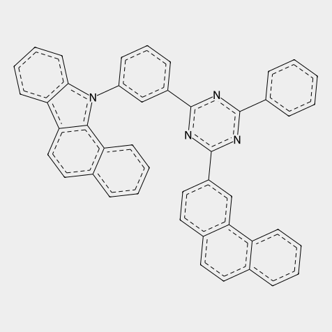 c1ccc(-c2nc(-c3cccc(-n4c5ccccc5c5ccc6ccccc6c54)c3)nc(-c3ccc4ccc5ccccc5c4c3)n2)cc1